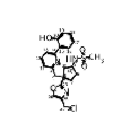 CS(=O)(=O)N[C@H]1CC[C@](Cc2cccc(-c3ccccc3O)n2)(c2nc(CCl)co2)C1